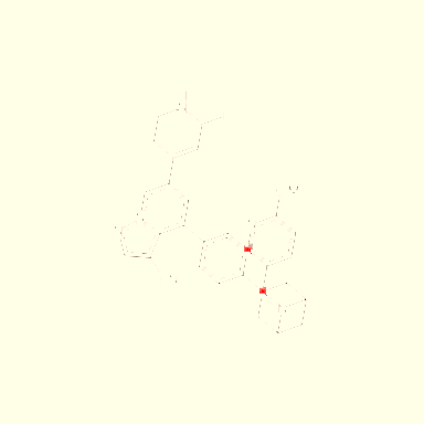 CCC1C=C(c2cc(-c3ccc(N4CC5CC(C4)N5Cc4ccc(OC)nc4)nc3)c3c(C#N)cnn3c2)CCN1